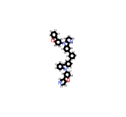 c1cc(-c2ccc3c(c2)c2ccccc2n3-c2ccc3oc4ccncc4c3c2)cc(-c2ccc3c(c2)c2ncccc2n3-c2ccc3oc4ccccc4c3c2)c1